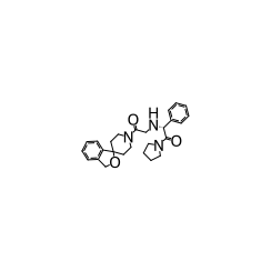 O=C(CN[C@@H](C(=O)N1CCCC1)c1ccccc1)N1CCC2(CC1)OCc1ccccc12